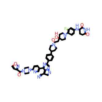 N#Cc1cnn2cc(-c3ccc(C4CCN(C(=O)CC5(O)CCN(c6ccc(NC7CCC(=O)NC7=O)cc6F)CC5)CC4)cc3)nc(-c3ccc(N4CCN(C(=O)c5ccon5)CC4)nc3)c12